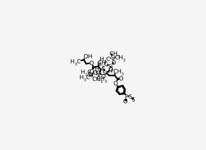 CC(O)COC(=O)C(C)C[Si](C)(O[Si](C)(C)C)O[Si](C)(CC(C)C(=O)Oc1ccc(P(=O)=S=S)cc1)O[SiH](C)O[Si](C)(C)C